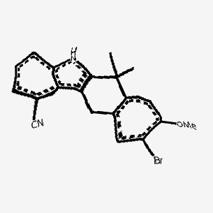 COc1cc2c(cc1Br)Cc1c([nH]c3cccc(C#N)c13)C2(C)C